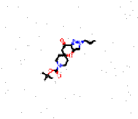 CCCn1cc2c(n1)C(=O)CC1(CCN(C(=O)OC(C)(C)C)CC1)O2